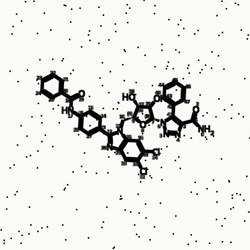 NC(=O)c1nnn([C@@H]2O[C@H](Cn3c(-c4ccc(NC(=O)c5ccccc5)cc4)nc4cc(Cl)c(Cl)cc43)[C@@H](O)C2O)c1-c1ccccc1